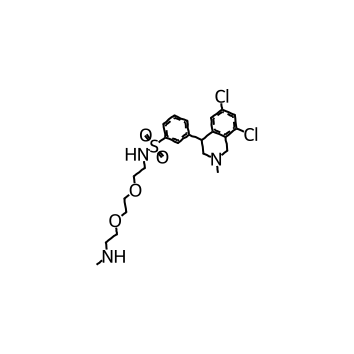 CNCCOCCOCCNS(=O)(=O)c1cccc(C2CN(C)Cc3c(Cl)cc(Cl)cc32)c1